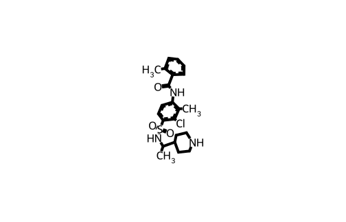 Cc1ccccc1C(=O)Nc1ccc(S(=O)(=O)NC(C)C2CCNCC2)c(Cl)c1C